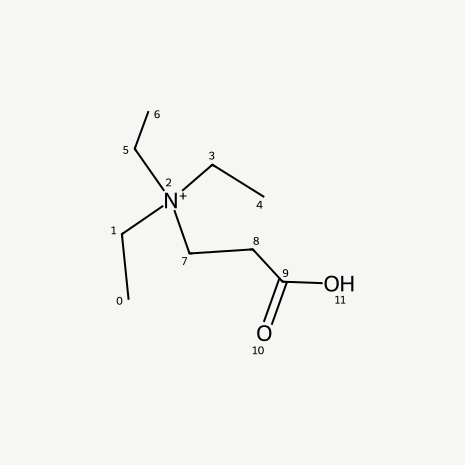 CC[N+](CC)(CC)CCC(=O)O